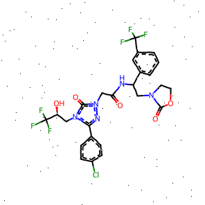 O=C(Cn1nc(-c2ccc(Cl)cc2)n(C[C@H](O)C(F)(F)F)c1=O)NC(CN1CCOC1=O)c1cccc(C(F)(F)F)c1